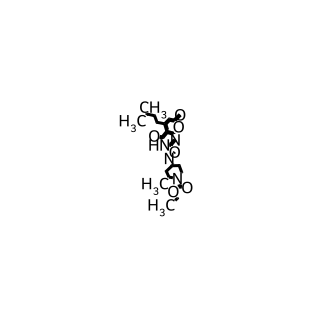 CCOC(=O)N1CC/C(=N\Oc2nc3oc(=O)cc(CCC(C)C)c3c(=O)[nH]2)CC1C